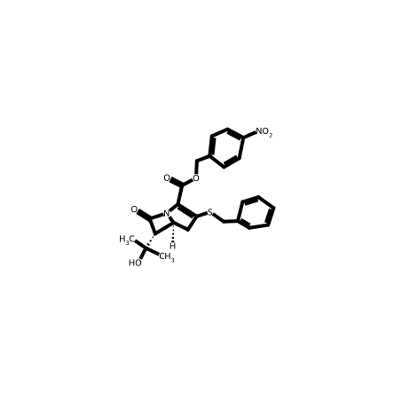 CC(C)(O)[C@@H]1C(=O)N2C(C(=O)OCc3ccc([N+](=O)[O-])cc3)=C(SCc3ccccc3)C[C@@H]12